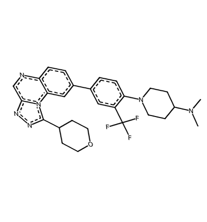 CN(C)C1CCN(c2ccc(-c3ccc4ncc5nnc(C6CCOCC6)n5c4c3)cc2C(F)(F)F)CC1